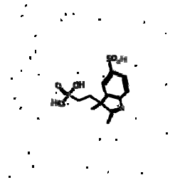 CC1=Nc2ccc(S(=O)(=O)O)cc2C1(C)CCP(=O)(O)O